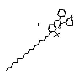 CCCCCCCCCCCCCCCCOc1ccc(CN(C(=O)c2ccc[n+](C)c2)c2ccccc2)cc1C(C)(C)C.[I-]